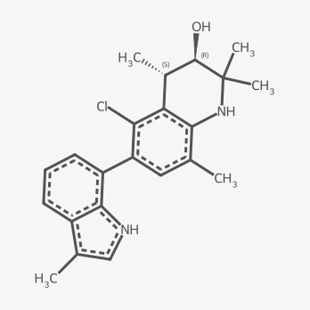 Cc1cc(-c2cccc3c(C)c[nH]c23)c(Cl)c2c1NC(C)(C)[C@H](O)[C@H]2C